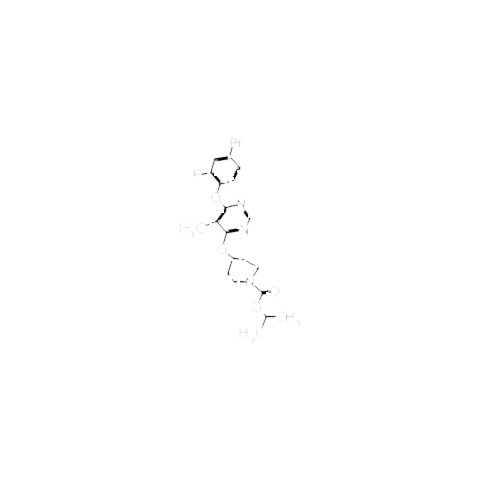 Cc1c(Oc2ccc(Br)cc2F)ncnc1OC1CCN(C(=O)OC(C)C)CC1